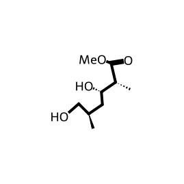 COC(=O)[C@H](C)[C@@H](O)C[C@@H](C)CO